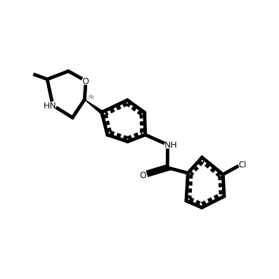 CC1CO[C@@H](c2ccc(NC(=O)c3cccc(Cl)c3)cc2)CN1